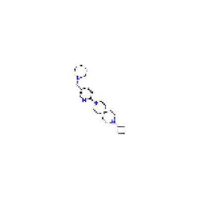 c1cc(N2CCC3(CC2)CCN(C2CCC2)CC3)ncc1CN1CCCCC1